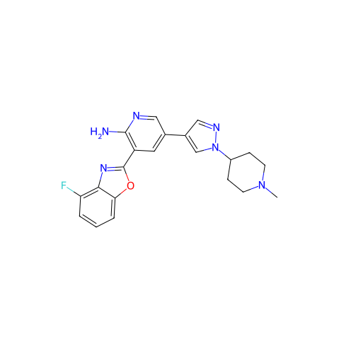 CN1CCC(n2cc(-c3cnc(N)c(-c4nc5c(F)cccc5o4)c3)cn2)CC1